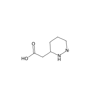 O=C(O)CC1CCC[N]N1